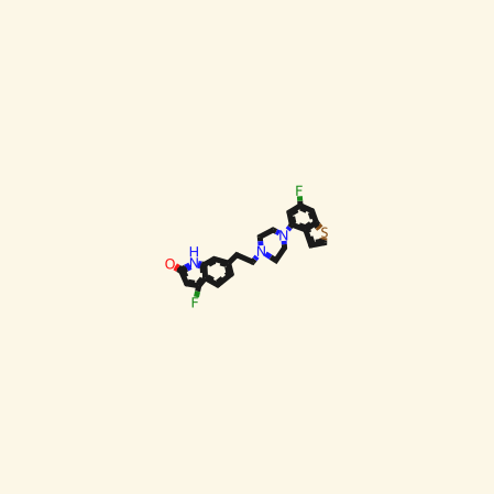 O=c1cc(F)c2ccc(CCN3CCN(c4cc(F)cc5sccc45)CC3)cc2[nH]1